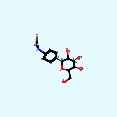 OCC1O[C@H](c2ccc(N=C=S)cc2)C(O)[C@H](O)[C@@H]1O